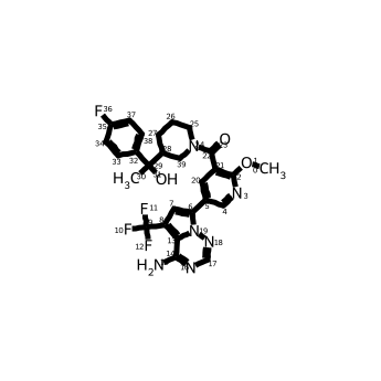 COc1ncc(-c2cc(C(F)(F)F)c3c(N)ncnn23)cc1C(=O)N1CCCC(C(C)(O)c2ccc(F)cc2)C1